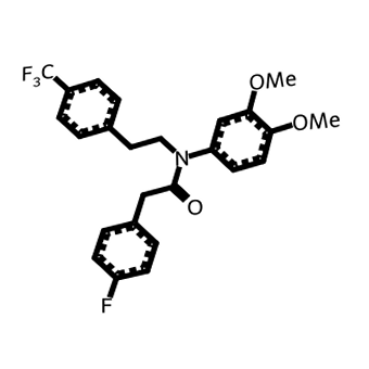 COc1ccc(N(CCc2ccc(C(F)(F)F)cc2)C(=O)Cc2ccc(F)cc2)cc1OC